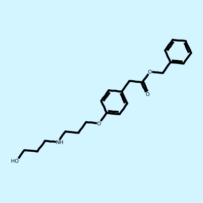 O=C(Cc1ccc(OCCCNCCCO)cc1)OCc1ccccc1